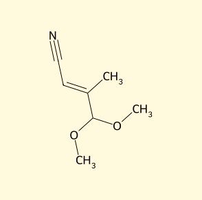 COC(OC)C(C)=CC#N